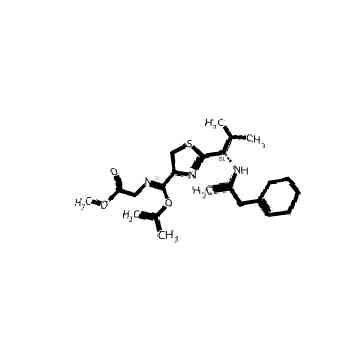 C=C(CC1=CCCCC1)N[C@H](C1=NC(/C(=N/CC(=O)OC)OC(=C)C)CS1)C(C)C